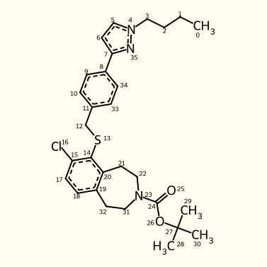 CCCCn1ccc(-c2ccc(CSc3c(Cl)ccc4c3CCN(C(=O)OC(C)(C)C)CC4)cc2)n1